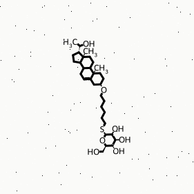 CC(O)[C@H]1CCC2C3CC=C4C[C@@H](OCCCCCCS[C@@H]5O[C@H](CO)[C@@H](O)[C@H](O)[C@@H]5O)CC[C@]4(C)C3CC[C@@]21C